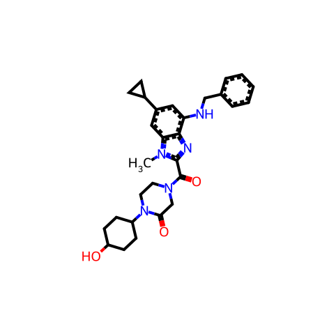 Cn1c(C(=O)N2CCN(C3CCC(O)CC3)C(=O)C2)nc2c(NCc3ccccc3)cc(C3CC3)cc21